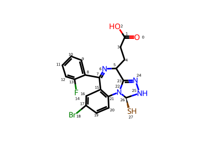 O=C(O)CCC1N=C(c2ccccc2F)c2cc(Br)ccc2N2C1=NN[C@H]2S